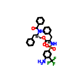 Nc1ccc(S(=O)(=O)N[C@H](Cc2ccccc2)C(=O)OC[C@H](Cc2ccccc2)NC(=O)c2ccccc2)cc1C(F)(F)F